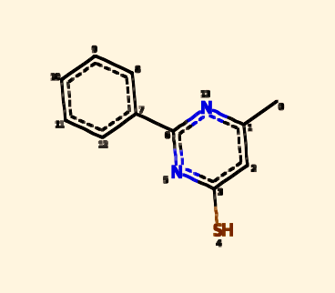 Cc1cc(S)nc(-c2ccccc2)n1